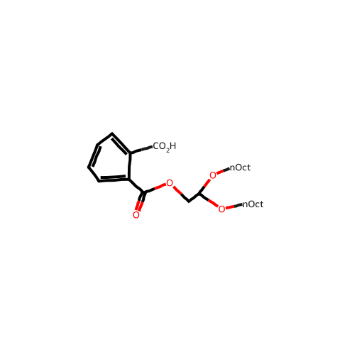 CCCCCCCCOC(COC(=O)c1ccccc1C(=O)O)OCCCCCCCC